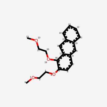 COCCOc1ccc2cc3ccccc3cc2c1OCCOC